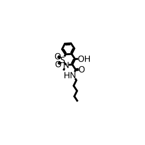 CCCCCNC(=O)C1=C(O)c2ccccc2S(=O)(=O)N1C